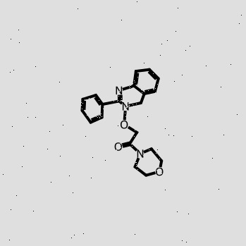 O=C(CON1Cc2ccccc2N=C1c1ccccc1)N1CCOCC1